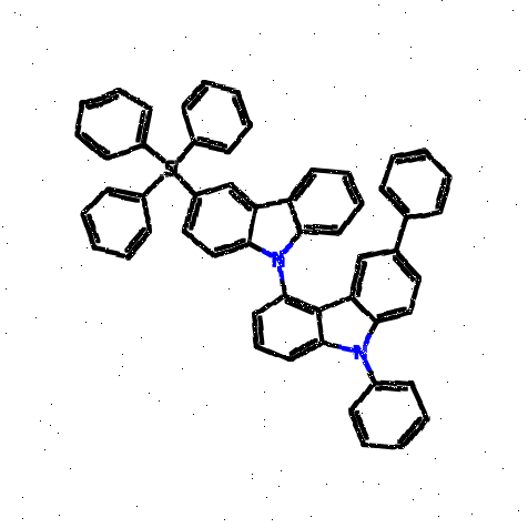 c1ccc(-c2ccc3c(c2)c2c(-n4c5ccccc5c5cc([Si](c6ccccc6)(c6ccccc6)c6ccccc6)ccc54)cccc2n3-c2ccccc2)cc1